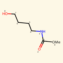 COC(=O)NCCCCO